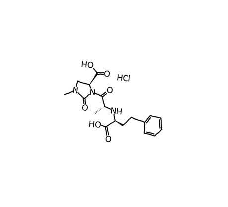 C[C@@H](N[C@@H](CCc1ccccc1)C(=O)O)C(=O)N1C(=O)N(C)C[C@H]1C(=O)O.Cl